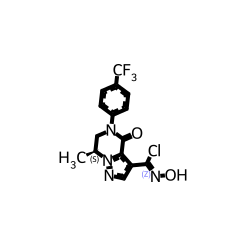 C[C@H]1CN(c2ccc(C(F)(F)F)cc2)C(=O)c2c(/C(Cl)=N/O)cnn21